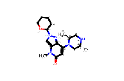 CC[C@@H]1CN(c2cc(=O)n(C)c3cn(C4CCCCO4)nc23)[C@@H](C)CN1